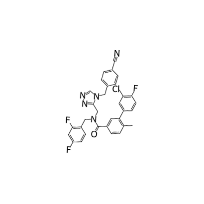 Cc1ccc(C(=O)N(Cc2ccc(F)cc2F)Cc2nncn2Cc2ccc(C#N)cc2)cc1-c1ccc(F)c(Cl)c1